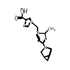 CC1N=C(N2CC3CC3C2)C=CN1Cn1cnc(C(=O)O)c1